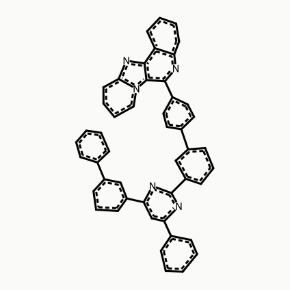 c1ccc(-c2cccc(-c3cc(-c4ccccc4)nc(-c4cccc(-c5ccc(-c6nc7ccccc7c7nc8ccccn8c67)cc5)c4)n3)c2)cc1